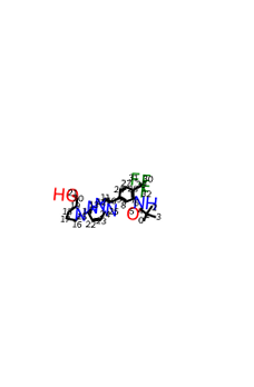 CC(C)(C)C(=O)Nc1cc(-c2cn3nc(N4CCCC4CO)ccc3n2)ccc1C(F)(F)F